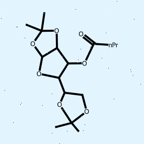 CCCC(=O)OC1C(C2COC(C)(C)O2)OC2OC(C)(C)OC21